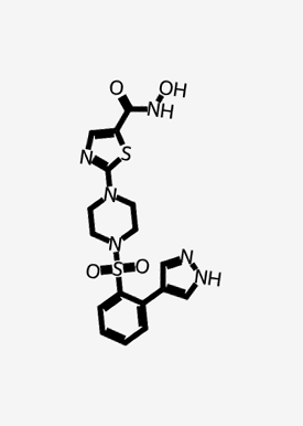 O=C(NO)c1cnc(N2CCN(S(=O)(=O)c3ccccc3-c3cn[nH]c3)CC2)s1